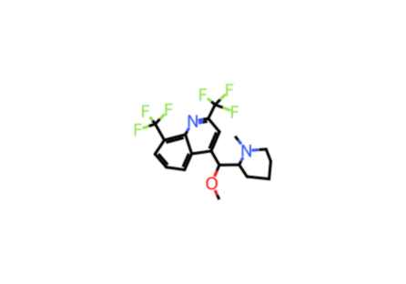 COC(c1cc(C(F)(F)F)nc2c(C(F)(F)F)cccc12)C1CCCCN1C